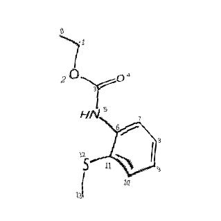 C[CH]OC(=O)Nc1ccccc1SC